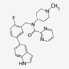 CN1CCC(N(Cc2cc(-c3ccc4[nH]ccc4c3)ccc2F)C(=O)c2ncccn2)CC1